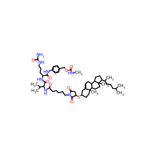 CNC(=O)OCc1ccc(NC(=O)C(CCCNC(N)=O)NC(=O)C(NC(=O)CCCCCN2C(=O)CC(SC3CCC4(C)C(=CCC5C4CCC4(C)C(C(C)CCCC(C)C)CCC54)C3)C2=O)C(C)C)cc1